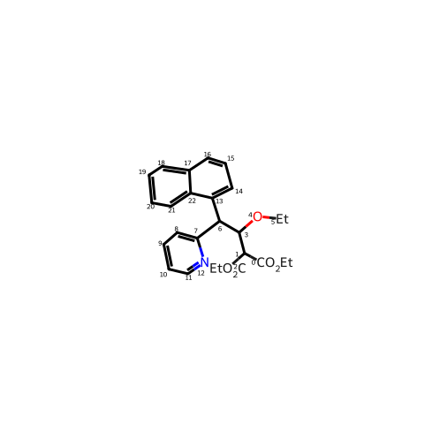 CCOC(=O)C(C(=O)OCC)C(OCC)C(c1ccccn1)c1cccc2ccccc12